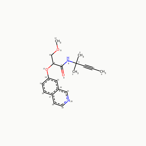 CC#CC(C)(C)NC(=O)C(COC)Oc1ccc2ccncc2c1